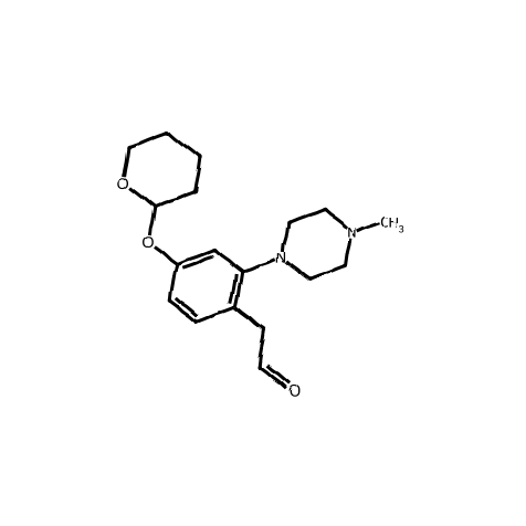 CN1CCN(c2cc(OC3CCCCO3)ccc2CC=O)CC1